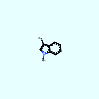 CC(C)(C)c1cn(C(C)(C)C)c2ccccc12